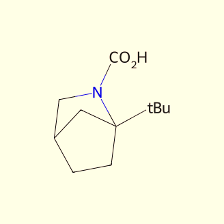 CC(C)(C)C12CCC(CN1C(=O)O)C2